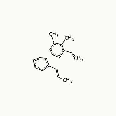 C=Cc1cccc(C)c1C.CC=Cc1ccccc1